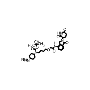 CC(C)(C)OC(=O)N(CCCCOCC(=O)Nc1cccc2c1CN(C1CCC(=O)NC1=O)C2=O)[C@H]1CC[C@@H](N=[N+]=[N-])CC1